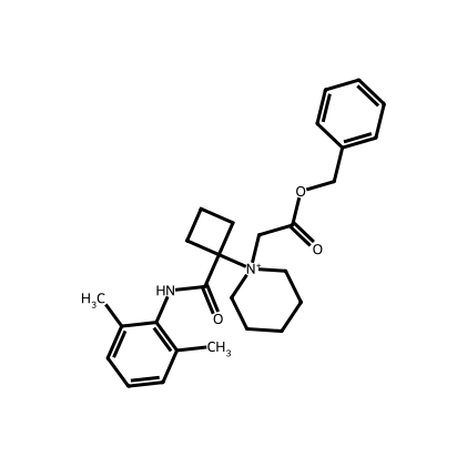 Cc1cccc(C)c1NC(=O)C1([N+]2(CC(=O)OCc3ccccc3)CCCCC2)CCC1